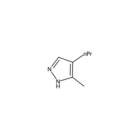 [CH2]CCc1cn[nH]c1C